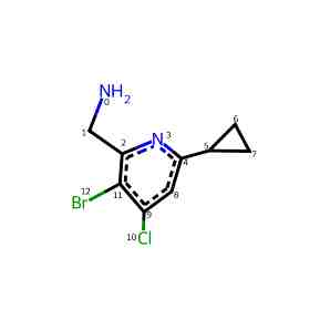 NCc1nc(C2CC2)cc(Cl)c1Br